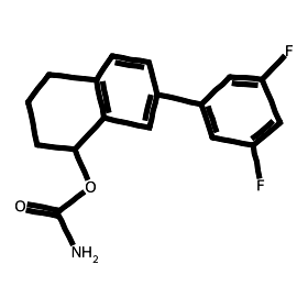 NC(=O)OC1CCCc2ccc(-c3cc(F)cc(F)c3)cc21